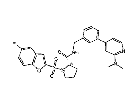 CN(C)c1cc(-c2cccc(CNC(=O)[C@@H]3CCCN3S(=O)(=O)c3cc4cc(F)ccc4o3)c2)ccn1